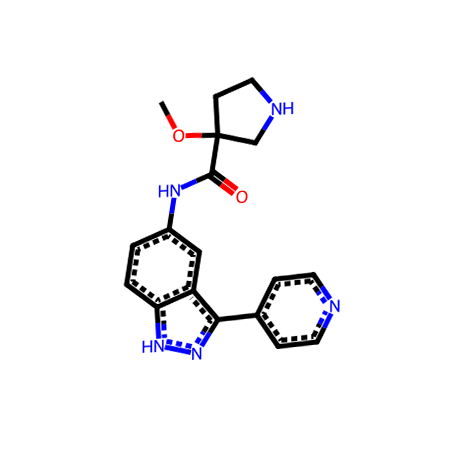 COC1(C(=O)Nc2ccc3[nH]nc(-c4ccncc4)c3c2)CCNC1